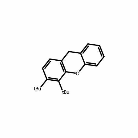 CC(C)(C)c1ccc2c(c1C(C)(C)C)Oc1ccccc1C2